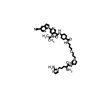 CC(C)Nc1cc(-n2ccc3cc(C#N)cnc32)ncc1C(=O)NC1CCC(C(=O)NCCCOCCCN2CC[C@@H](NC(=O)[C@@H](N)CCCn3ccnc3N)C2)CC1